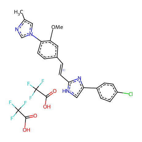 COc1cc(/C=C/c2nc(-c3ccc(Cl)cc3)c[nH]2)ccc1-n1cnc(C)c1.O=C(O)C(F)(F)F.O=C(O)C(F)(F)F